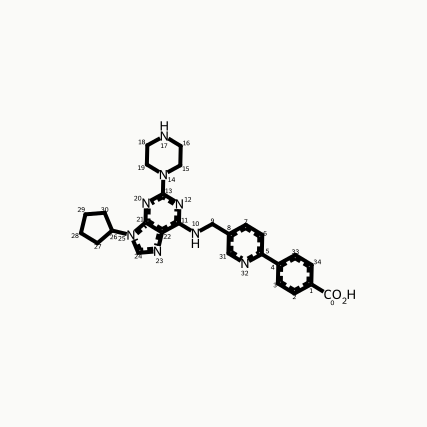 O=C(O)c1ccc(-c2ccc(CNc3nc(N4CCNCC4)nc4c3ncn4C3CCCC3)cn2)cc1